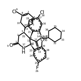 O=C1C[C@@H](C2C=CC=C(Cl)C2)[C@]2(C(=O)Nc3cc(Cl)ccc32)[C@@H](c2cc(F)ccc2OC2CCCCC2)N1